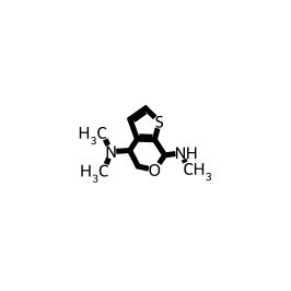 CNC1OCC(N(C)C)c2ccsc21